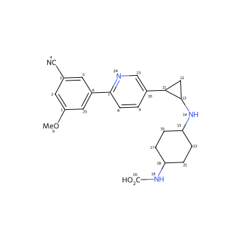 COc1cc(C#N)cc(-c2ccc(C3CC3NC3CCC(NC(=O)O)CC3)cn2)c1